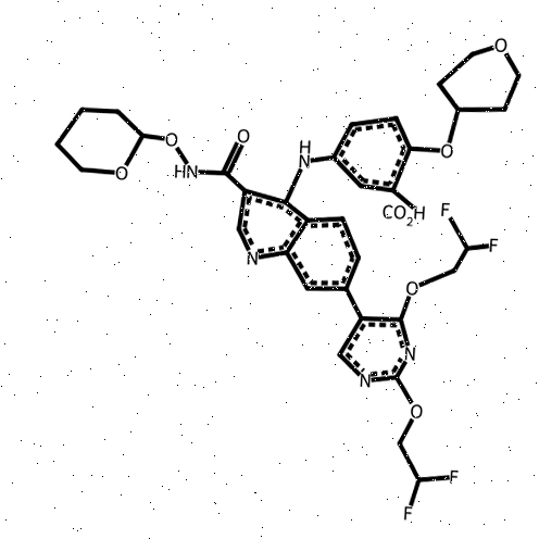 O=C(O)c1cc(Nc2c(C(=O)NOC3CCCCO3)cnc3cc(-c4cnc(OCC(F)F)nc4OCC(F)F)ccc23)ccc1OC1CCOCC1